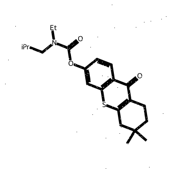 CCN(CC(C)C)C(=O)Oc1ccc2c(=O)c3c(sc2c1)CC(C)(C)CC3